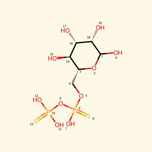 OC1O[C@H](COP(O)(=S)OP(O)(O)=S)[C@@H](O)[C@H](O)[C@@H]1O